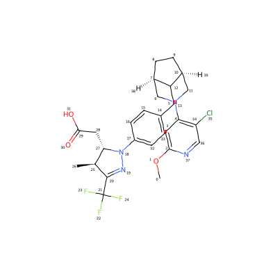 COc1cc(N2C[C@H]3CC[C@@H](C2)C3Cc2ccc(N3N=C(C(F)(F)F)[C@@H](C)[C@@H]3CC(=O)O)cc2)c(Cl)cn1